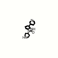 O=c1[nH]c2c(-c3cccnc3)cccc2n1C1CCNCC1